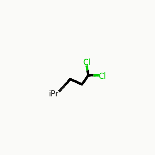 CC(C)CCC(Cl)Cl